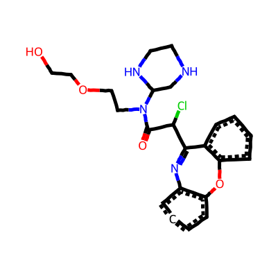 O=C(C(Cl)C1=Nc2ccccc2Oc2ccccc21)N(CCOCCO)C1CNCCN1